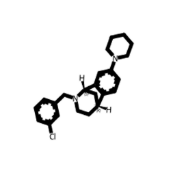 Clc1cccc(CN2CC[C@@H]3C[C@H]2c2cc(N4CCCCC4)ccc23)c1